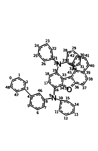 c1ccc(-c2cccc(N(c3ccccc3)c3ccc(N(c4ccccc4)c4ccccc4)c4c3oc3ccc5ccccc5c34)c2)cc1